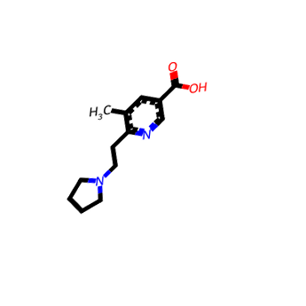 Cc1cc(C(=O)O)cnc1CCN1CCCC1